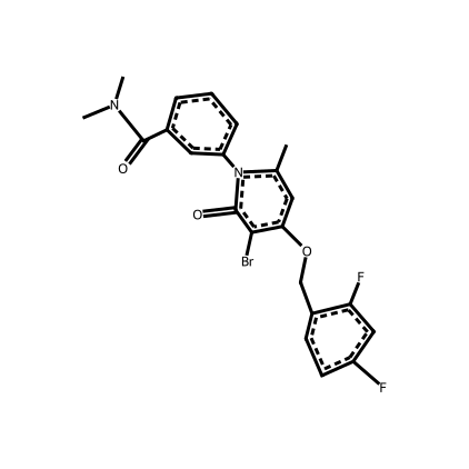 Cc1cc(OCc2ccc(F)cc2F)c(Br)c(=O)n1-c1cccc(C(=O)N(C)C)c1